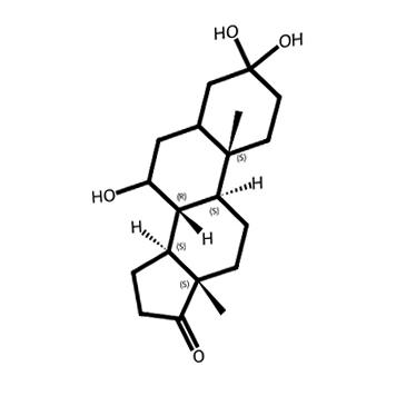 C[C@]12CCC(O)(O)CC1CC(O)[C@@H]1[C@@H]2CC[C@]2(C)C(=O)CC[C@@H]12